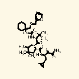 CC1CN(C(=O)[C@@H](NC(=O)NC2(CSCc3ccco3)CCCCC2)C(C)(C)C)[C@H](C(=O)NC(CC2CC2)C(=O)C(N)=O)CC1(C)C